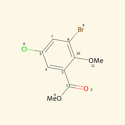 COC(=O)c1cc(Cl)cc(Br)c1OC